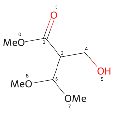 COC(=O)C(CO)C(OC)OC